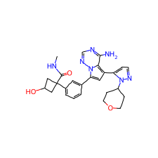 CNC(=O)C1(c2cccc(-c3cc(-c4ccnn4C4CCOCC4)c4c(N)ncnn34)c2)CC(O)C1